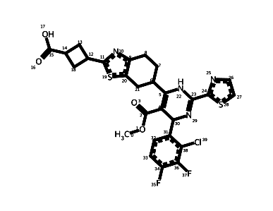 COC(=O)C1=C(C2CCc3nc(C4CC(C(=O)O)C4)sc3C2)NC(c2nccs2)=NC1c1ccc(F)c(F)c1Cl